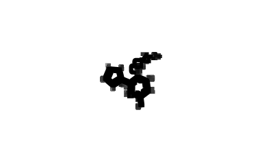 Cc1bc(C2=CC=CC2)ccc1.[Cl-].[Cl-].[Zr+2]